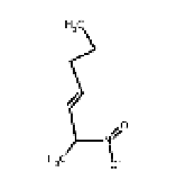 CCC/C=C/C(C)[N+](=O)[O-]